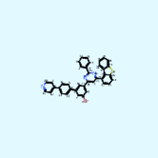 Brc1cc(-c2ccc(-c3ccncc3)cc2)cc(-c2cc(-c3cccc4sc5ccccc5c34)nc(-c3ccccc3)n2)c1